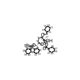 CC(C)(C)[Si](OC[C@@H]1CC[C@@H](OCc2ccccc2)[C@@](C)(O)C(OC(=O)c2ccccc2)O1)(c1ccccc1)c1ccccc1